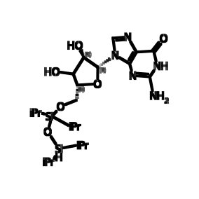 CC(C)[SiH](O[Si](OC[C@H]1O[C@@H](n2cnc3c(=O)[nH]c(N)nc32)[C@H](O)C1O)(C(C)C)C(C)C)C(C)C